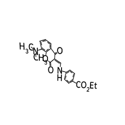 CCOC(=O)c1ccc(NC=C2C(=O)Oc3c(cccc3N(C)C)C2=O)cc1